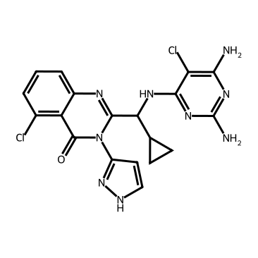 Nc1nc(N)c(Cl)c(NC(c2nc3cccc(Cl)c3c(=O)n2-c2cc[nH]n2)C2CC2)n1